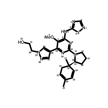 COc1c(Nc2ncns2)nc(N2CCC[C@H]2C2(C)C=CC(C)=CC2)nc1-c1cnn(CCO)c1